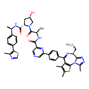 Cc1ncsc1-c1ccc(C(C)NC(=O)[C@@H]2C[C@@H](O)CN2C(=O)C(NC(=O)c2cncc(-c3ccc(C4=N[C@@H](CC(=O)O)c5nnc(C)n5-c5sc(C)c(C)c54)cc3)n2)C(C)(C)C)cc1